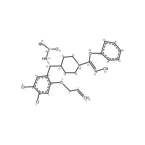 C=CCOc1cc(Cl)c(Cl)cc1[C@H](N[S+]([O-])C(C)(C)C)C1CCN(C(=NC#N)Oc2ccccc2)CC1